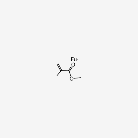 C=C(C)C(=O)OC.[Eu]